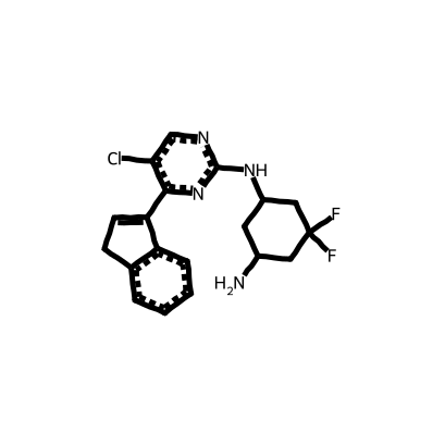 NC1CC(Nc2ncc(Cl)c(C3=CCc4ccccc43)n2)CC(F)(F)C1